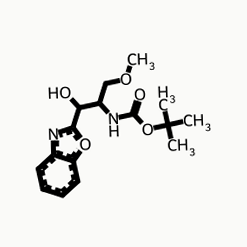 COCC(NC(=O)OC(C)(C)C)C(O)c1nc2ccccc2o1